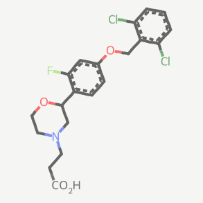 O=C(O)CCN1CCOC(c2ccc(OCc3c(Cl)cccc3Cl)cc2F)C1